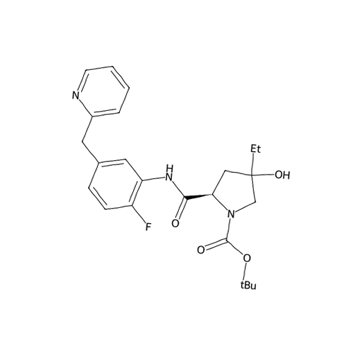 CCC1(O)C[C@H](C(=O)Nc2cc(Cc3ccccn3)ccc2F)N(C(=O)OC(C)(C)C)C1